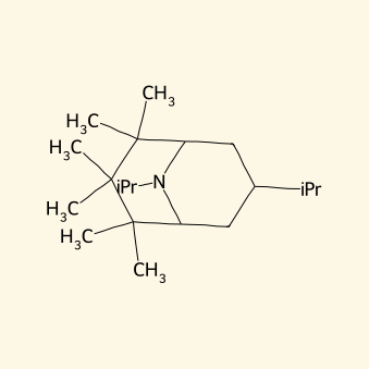 CC(C)C1CC2N(C(C)C)C(C1)C(C)(C)C(C)(C)C2(C)C